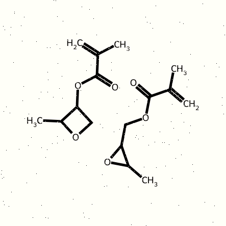 C=C(C)C(=O)OC1COC1C.C=C(C)C(=O)OCC1OC1C